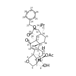 CC(=O)O[C@@H]1C[C@@]23COC[C@@](C)([C@@H]2CC[C@H]2C3=CC(=O)[C@@]3(C)[C@H](C(=O)OCc4ccccc4)[C@@](C)([C@H](C)C(C)C)CC[C@]23C)[C@H]1O